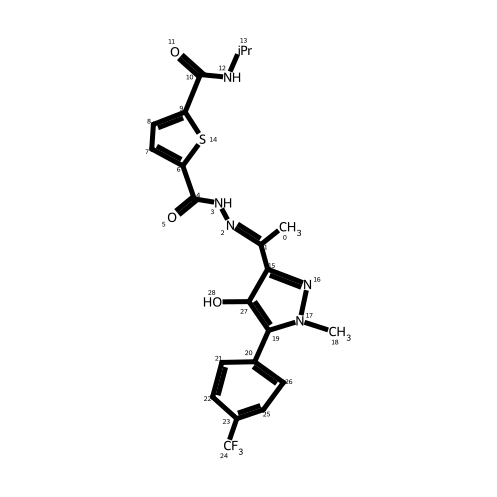 CC(=NNC(=O)c1ccc(C(=O)NC(C)C)s1)c1nn(C)c(-c2ccc(C(F)(F)F)cc2)c1O